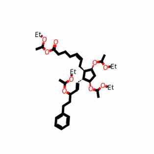 CCOC(C)OC(=O)CCC/C=C\C[C@@H]1[C@@H](/C=C/C(CCc2ccccc2)OC(C)OCC)[C@H](OC(C)OCC)C[C@@H]1OC(C)OCC